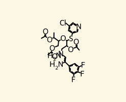 CC(=O)OCC(OC(Sc1cncc(Cl)c1)C(CN(N)/C=C(\N)c1cc(F)c(F)c(F)c1)OC(C)=O)C(C)OC(C)=O